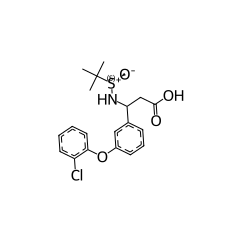 CC(C)(C)[S@@+]([O-])NC(CC(=O)O)c1cccc(Oc2ccccc2Cl)c1